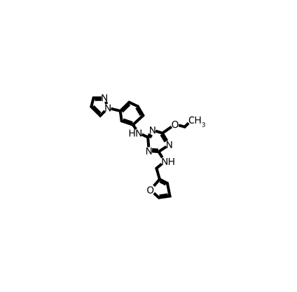 CCOc1nc(NCc2ccco2)nc(Nc2cccc(-n3cccn3)c2)n1